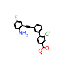 COC(=O)c1ccc(-c2cccc(C#Cc3cc(F)ccc3N)c2)c(Cl)c1